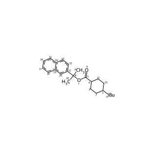 CCC(C)C1CCC(C(=O)OC(C)(C)c2ccc3ccccc3c2)CC1